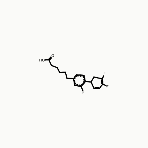 O=C(O)CCCCCc1ccc(C2C=CC(F)=C(F)C2)c(F)c1